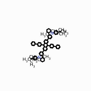 CC(C)(C)c1ccc(N2c3ccc(-c4ccc5c(-c6ccc(-c7ccccc7)cc6)c6cc(-c7ccc8c(c7)C7(C)CCCCC7(C)N8c7ccc(C(C)(C)C)cc7)ccc6c(-c6ccc(-c7ccccc7)cc6)c5c4)cc3C3(C)CCCCC23C)cc1